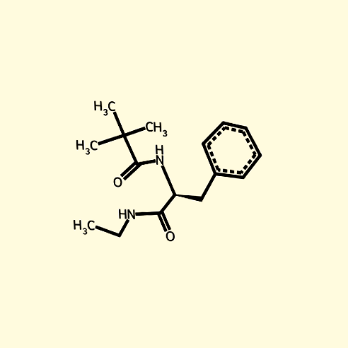 CCNC(=O)[C@H](Cc1ccccc1)NC(=O)C(C)(C)C